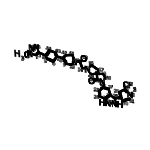 Cn1cc(-c2ccc(C3=CCN(C(=O)CN4CC[C@]5(CCN(c6ccc7c(c6)C(c6ccnc(C(F)(F)F)c6)NN7)C5=O)C4)CC3)cc2)nn1